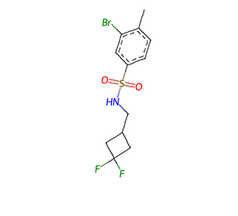 Cc1ccc(S(=O)(=O)NCC2CC(F)(F)C2)cc1Br